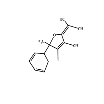 CC1=C(C#N)C(=C(C#N)C#N)OC1(C1C=CC=CC1)C(F)(F)F